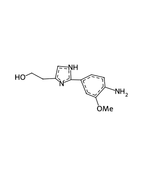 COc1cc(-c2nc(CCO)c[nH]2)ccc1N